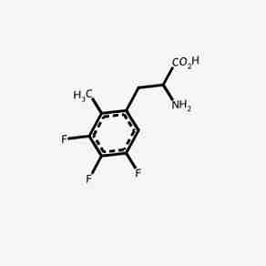 Cc1c(CC(N)C(=O)O)cc(F)c(F)c1F